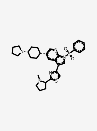 CN1CCCC1c1nc(-c2cn(S(=O)(=O)c3ccccc3)c3ncc([C@H]4CC[C@@H](N5CCCC5)CC4)cc23)cs1